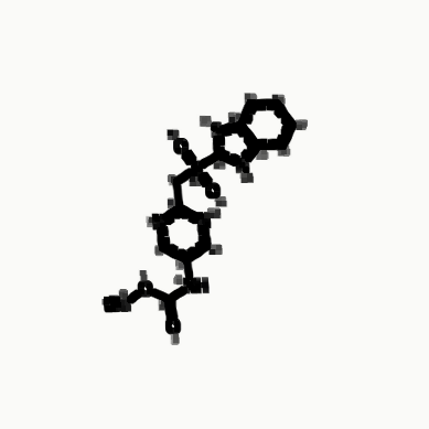 CC(C)(C)OC(=O)Nc1cnc(CS(=O)(=O)c2nc3ccccc3s2)nc1